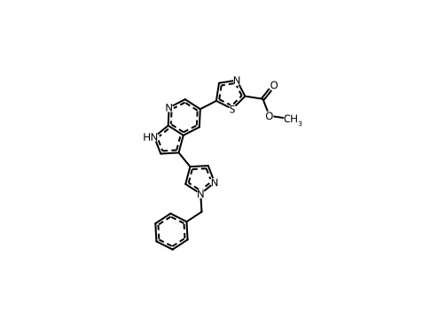 COC(=O)c1ncc(-c2cnc3[nH]cc(-c4cnn(Cc5ccccc5)c4)c3c2)s1